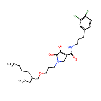 CCCCC(CC)COCCCN1CC(C(=O)NCCCc2ccc(Cl)c(Cl)c2)=C(O)C1=O